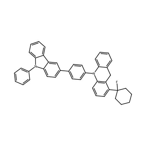 FC1(c2cccc3c2Cc2ccccc2N3c2ccc(-c3ccc4c(c3)c3ccccc3n4-c3ccccc3)cc2)CCCCC1